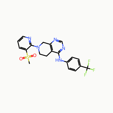 CS(=O)(=O)c1cccnc1N1CCc2c(ncnc2Nc2ccc(C(F)(F)F)cc2)C1